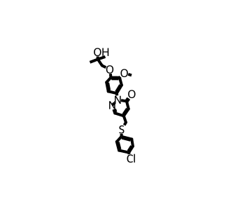 COc1cc(-n2ncc(CSc3ccc(Cl)cc3)cc2=O)ccc1OCC(C)(C)O